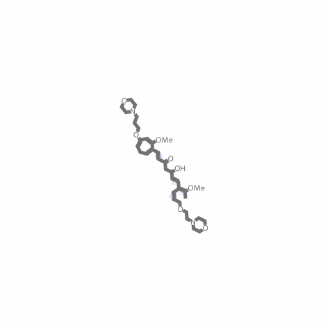 COC1=CC(OCCCN2CCOCC2)=CCC=C1/C=C/C(=O)CC(O)/C=C/C(/C=C\COCCN1CCOCC1)=C(/C)OC